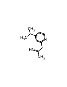 CC(C)c1ccnc(CC(=N)N)c1